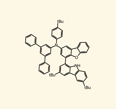 CC(C)(C)c1ccc(N(c2cc(-c3ccccc3)cc(-c3ccccc3)c2)c2cc(-c3cc(C(C)(C)C)cc4c3[nH]c3ccc(C(C)(C)C)cc34)c3oc4ccccc4c3c2)cc1